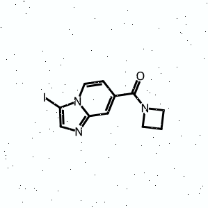 O=C(c1ccn2c(I)cnc2c1)N1CCC1